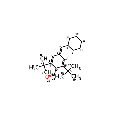 CC(C)(C)C1=CC(=CC2CCCCC2)C=C(C(C)(C)C)C1C=O